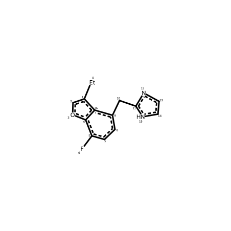 CCc1coc2c(F)ccc(Cc3ncc[nH]3)c12